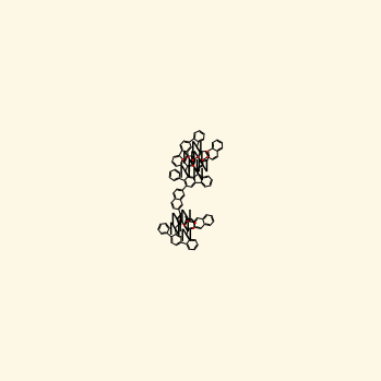 c1ccc(-n2c3ccccc3c3ccc4c5ccccc5n(-c5nc(-c6ccc7ccccc7c6)nc(-c6ccc7ccc(-c8cc9c%10ccccc%10n(-c%10nc(-c%11ccc%12ccccc%12c%11)nc(-n%11c%12ccccc%12c%12ccc%13c%14ccccc%14n(-c%14ccccc%14)c%13c%12%11)n%10)c9c9c8c8ccccc8n9-c8ccccc8)cc7c6)n5)c4c32)cc1